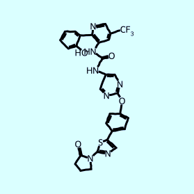 O=C(Nc1cnc(Oc2ccc(-c3cnc(N4CCCC4=O)s3)cc2)nc1)Nc1cc(C(F)(F)F)cnc1-c1ccccc1O